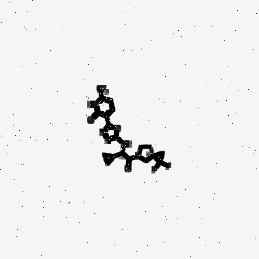 O=C([C@H](Nc1nnc(-c2ccc(C(F)(F)F)[nH]c2=O)o1)C1CC1)N1CC[C@]2(C1)CC2(F)F